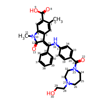 Cc1cc2c(cc1C(=O)O)N(C)C(=O)C2=C(Nc1ccc(C(=O)N2CCCN(CCO)CC2)cc1)c1ccccc1